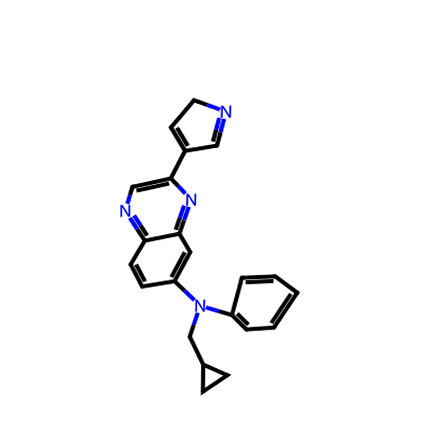 C1=NCC=C1c1cnc2ccc(N(CC3CC3)c3ccccc3)cc2n1